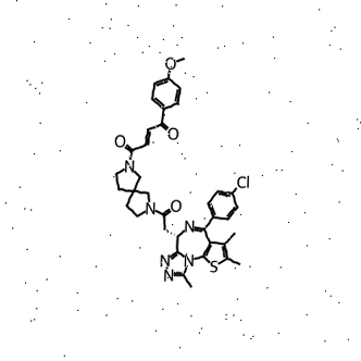 COc1ccc(C(=O)/C=C/C(=O)N2CCC3(CCN(C(=O)C[C@@H]4N=C(c5ccc(Cl)cc5)c5c(sc(C)c5C)-n5c(C)nnc54)C3)C2)cc1